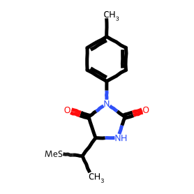 CSC(C)C1NC(=O)N(c2ccc(C)cc2)C1=O